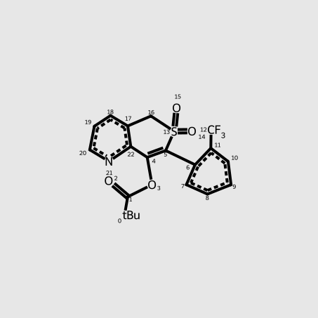 CC(C)(C)C(=O)OC1=C(c2ccccc2C(F)(F)F)S(=O)(=O)Cc2cccnc21